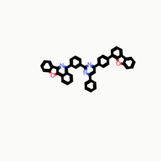 c1ccc(-c2cc(-c3ccc(-c4cccc5c4oc4ccccc45)cc3)nc(-c3cccc(-c4nc5c6ccccc6oc5c5ccccc45)c3)n2)cc1